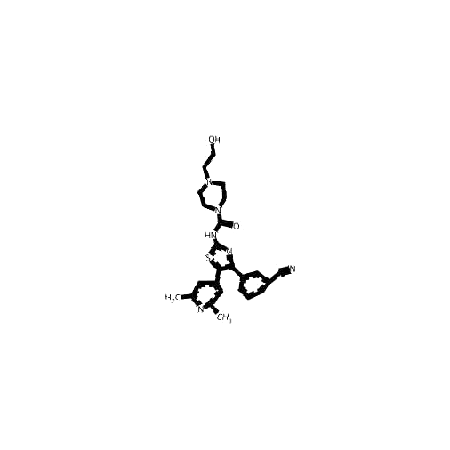 Cc1cc(-c2sc(NC(=O)N3CCN(CCO)CC3)nc2-c2cccc(C#N)c2)cc(C)n1